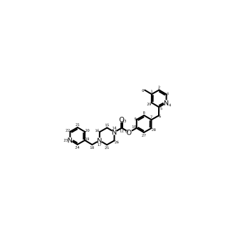 Cc1ccnc(Cc2ccc(OC(=O)N3CCN(Cc4cccnc4)CC3)cc2)c1